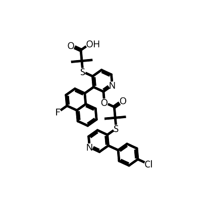 CC(C)(Sc1ccnc(OC(=O)C(C)(C)Sc2ccncc2-c2ccc(Cl)cc2)c1-c1ccc(F)c2ccccc12)C(=O)O